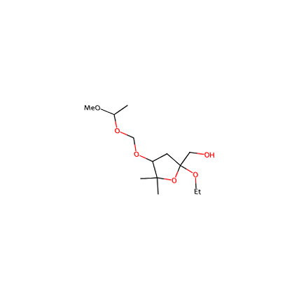 CCOC1(CO)CC(OCOC(C)OC)C(C)(C)O1